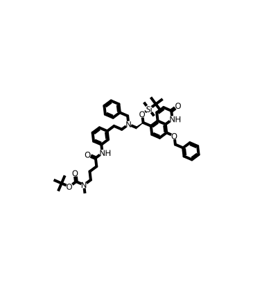 CN(CCCC(=O)Nc1cccc(CCN(Cc2ccccc2)C[C@@H](O[Si](C)(C)C(C)(C)C)c2ccc(OCc3ccccc3)c3[nH]c(=O)ccc23)c1)C(=O)OC(C)(C)C